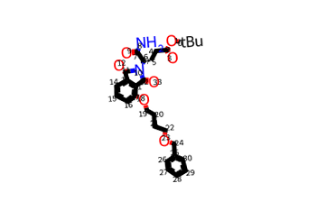 CC(C)(C)OC(=O)CC[C@@H](C(N)=O)N1C(=O)c2cccc(OCCCCOCc3ccccc3)c2C1=O